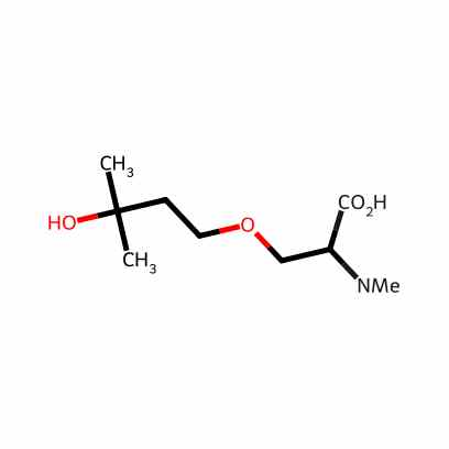 CNC(COCCC(C)(C)O)C(=O)O